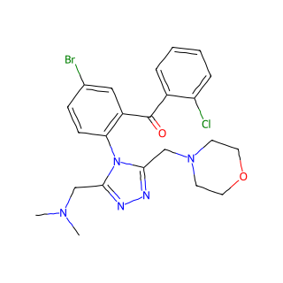 CN(C)Cc1nnc(CN2CCOCC2)n1-c1ccc(Br)cc1C(=O)c1ccccc1Cl